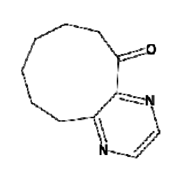 O=C1CCCCCCc2nccnc21